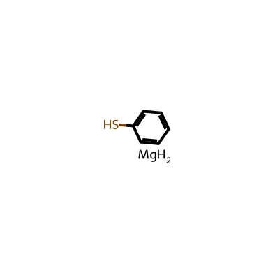 Sc1ccccc1.[MgH2]